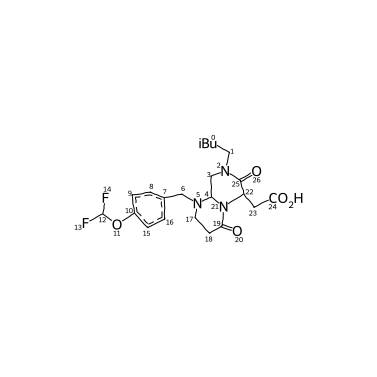 CCC(C)CN1CC2N(Cc3ccc(OC(F)F)cc3)CCC(=O)N2C(CC(=O)O)C1=O